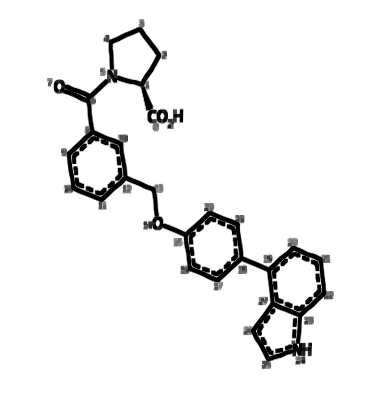 O=C(O)[C@@H]1CCCN1C(=O)c1cccc(COc2ccc(-c3cccc4[nH]ccc34)cc2)c1